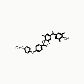 Cc1cc(C(C)c2cc(C)c(OC(=O)c3ccc(Oc4ccc(C=O)cc4)cc3)c(C)c2)cc(C)c1O